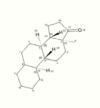 C[C@]12CC[C@H]3[C@@H](CCC4CCCC[C@@H]43)[C@@H]1CCC2=O